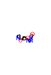 O=C(c1ccc(Oc2nccnc2N2CCOCC2)cc1)c1ccccn1